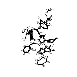 CCC(C=O)c1nc(N2C[C@@H]3C[C@H]2CN3C(=O)OC(C)(C)C)c2cc(C3CC3)c(-c3c(C)c(F)cc4c3cnn4C3CCCCO3)c(OCc3ccccc3)c2n1